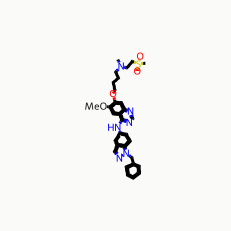 COc1cc2c(Nc3ccc4c(cnn4Cc4ccccc4)c3)ncnc2cc1OCCCCN(C)CCS(C)(=O)=O